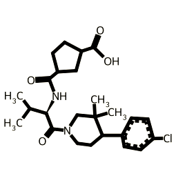 CC(C)[C@@H](NC(=O)C1CCC(C(=O)O)C1)C(=O)N1CCC(c2ccc(Cl)cc2)C(C)(C)C1